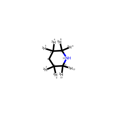 [2H]C1([2H])CC([2H])([2H])C([2H])([2H])NC1([2H])[2H]